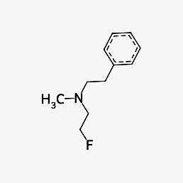 CN(CCF)CCc1ccccc1